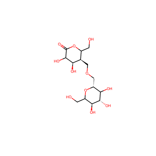 O=C1OC(CO)[C@@H](COC[C@H]2OC(CO)[C@H](O)[C@@H](O)C2O)[C@@H](O)C1O